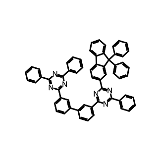 c1ccc(-c2nc(-c3ccccc3)nc(-c3cccc(-c4cccc(-c5nc(-c6ccccc6)nc(-c6ccc7c(c6)C(c6ccccc6)(c6ccccc6)c6ccccc6-7)n5)c4)c3)n2)cc1